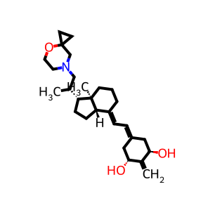 C=C1[C@H](O)CC(=CC=C2CCC[C@]3(C)[C@@H](C(C)CN4CCOC5(CC5)C4)CC[C@@H]23)C[C@H]1O